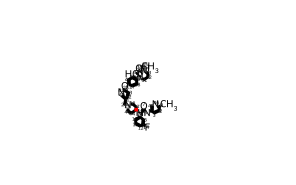 Cc1ccc(NC(=O)N(c2cccc(F)c2)C2CCN(Cc3ccc(Oc4ccc(N5CCCN(C)S5(O)O)cc4)nc3)CC2)cn1